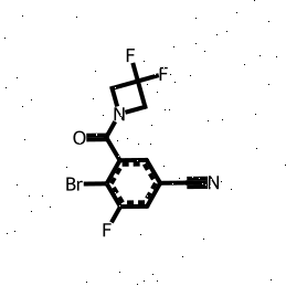 N#Cc1cc(F)c(Br)c(C(=O)N2CC(F)(F)C2)c1